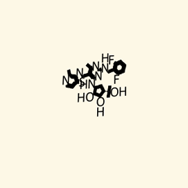 Cc1nc(NCc2c(F)cccc2F)nc(N[C@@H]2C[C@H](C(C)(C)O)[C@@H](O)[C@H]2O)c1-c1nc2c(C)nccc2s1